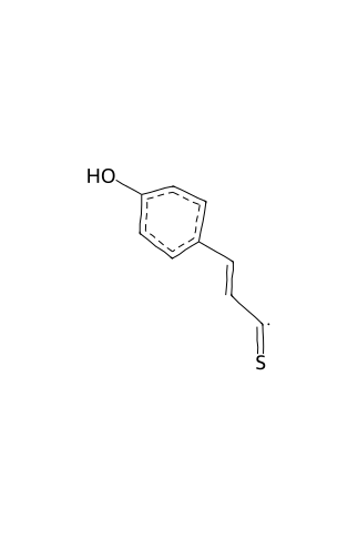 Oc1ccc(C=C[C]=S)cc1